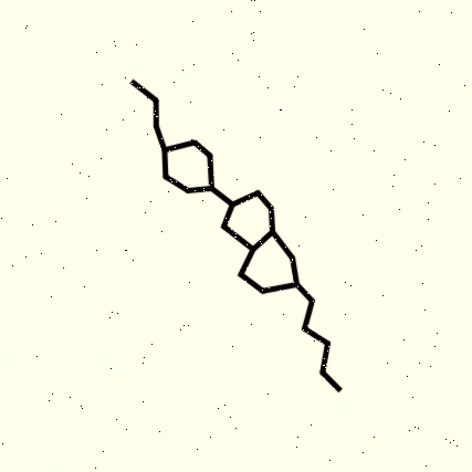 CCCCCC1CCC2CC(C3CCC(CCC)CC3)CCC2C1